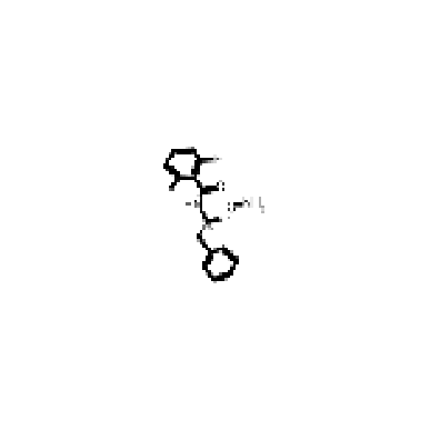 NOO[C@@H](Cc1ccccc1)NC(=O)c1c(F)cccc1I